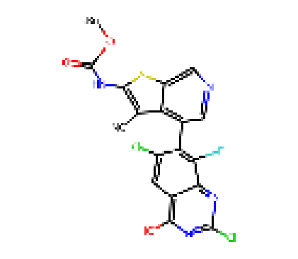 CC(C)(C)OC(=O)Nc1sc2cncc(-c3c(Cl)cc4c(O)nc(Cl)nc4c3F)c2c1C#N